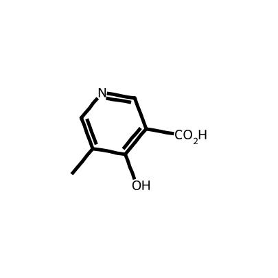 Cc1cncc(C(=O)O)c1O